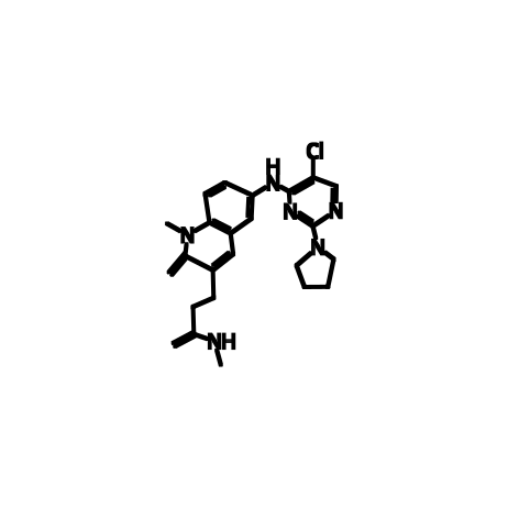 C=C(CCC1=Cc2cc(Nc3nc(N4CCCC4)ncc3Cl)ccc2N(C)C1=C)NC